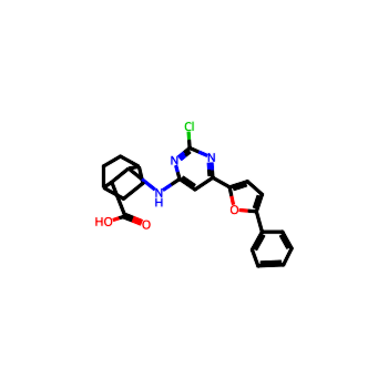 O=C(O)C1C2CCC(CC2)C1Nc1cc(-c2ccc(-c3ccccc3)o2)nc(Cl)n1